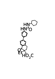 CCC1(CC(=O)O)CCc2cc(-c3ccc(NC(=O)NC4CCCCC4)cc3)ccc2C1=O